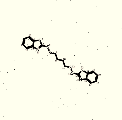 c1ccc2sc(SSCCCCSSc3nc4ccccc4s3)nc2c1